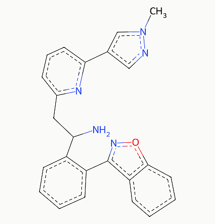 Cn1cc(-c2cccc(CC(N)c3ccccc3-c3noc4ccccc34)n2)cn1